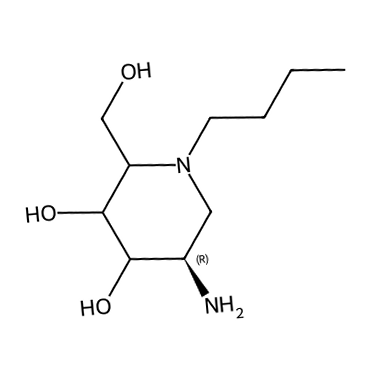 CCCCN1C[C@@H](N)C(O)C(O)C1CO